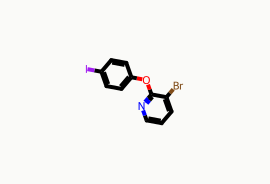 Brc1cccnc1Oc1ccc(I)cc1